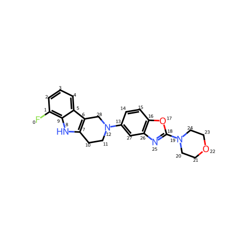 Fc1cccc2c3c([nH]c12)CCN(c1ccc2oc(N4CCOCC4)nc2c1)C3